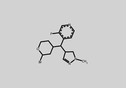 CN1CC(C(c2ccncc2F)C2CCOC(Br)C2)C=N1